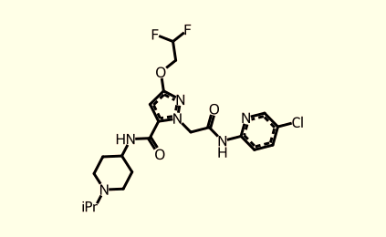 CC(C)N1CCC(NC(=O)c2cc(OCC(F)F)nn2CC(=O)Nc2ccc(Cl)cn2)CC1